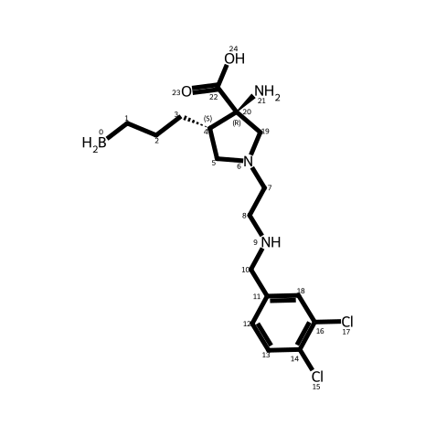 BCCC[C@H]1CN(CCNCc2ccc(Cl)c(Cl)c2)C[C@@]1(N)C(=O)O